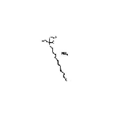 CCCCCCCCCCCCC(O)(Cl)CO.N